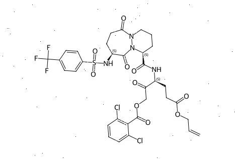 C=CCOC(=O)CC[C@H](NC(=O)[C@@H]1CCCN2C(=O)CC[C@H](NS(=O)(=O)c3ccc(C(F)(F)F)cc3)C(=O)N12)C(=O)COC(=O)c1c(Cl)cccc1Cl